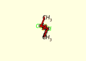 CCCCCCCCCCCCc1cc(Cl)sc1C#Cc1c2ccsc2c(C#Cc2sc(Cl)cc2CCCCCCCCCCCC)c2ccsc12